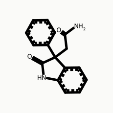 NC(=O)CC1(c2ccccc2)C(=O)Nc2ccccc21